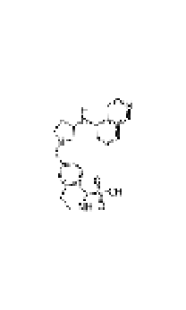 CS(=O)(=O)[C@H]1NCCc2cc(CN3CCC(Nc4cccc5cnccc45)C3)ccc21